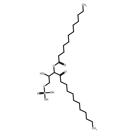 CCCCCCCCCCCC(=O)OC(C(=O)CCCCCCCCCCC)C(O)COP(=O)(O)O